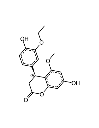 CCOc1cc([C@@H]2CC(=O)Oc3cc(O)cc(OC)c32)ccc1O